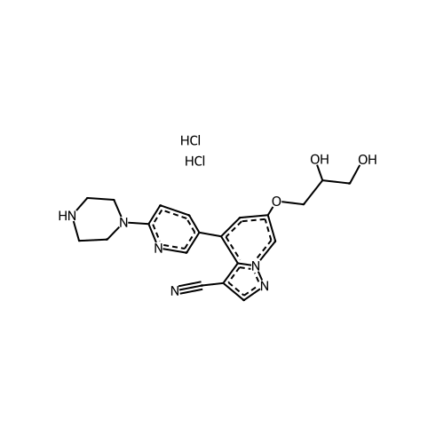 Cl.Cl.N#Cc1cnn2cc(OCC(O)CO)cc(-c3ccc(N4CCNCC4)nc3)c12